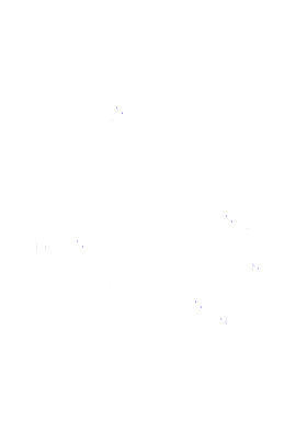 CCNC(=O)c1cn2ncnc(N)c2c1-c1ccc(N)cc1